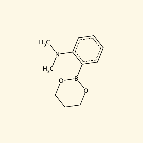 CN(C)c1ccccc1B1OCCCO1